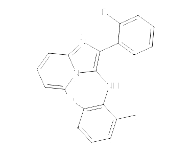 CCc1cccc2nc(-c3ccccc3F)c(Nc3c(C)cccc3C)n12